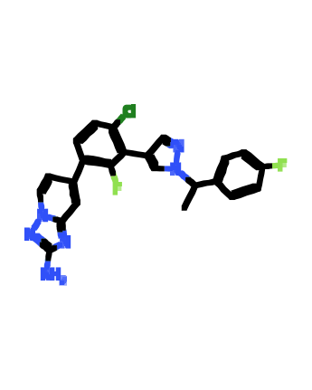 CC(c1ccc(F)cc1)n1cc(-c2c(Cl)ccc(-c3ccn4nc(N)nc4c3)c2F)cn1